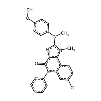 COc1ccc(N(C)c2nc3c(=O)n(-c4ccccc4)c4cc(Cl)ccc4c3n2C)cc1